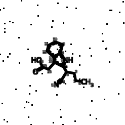 CCCC(C#N)c1[nH]c2ccccc2c1CC(=O)O